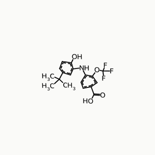 CC(C)(C)c1ccc(O)c(Nc2ccc(C(=O)O)cc2OC(F)(F)F)c1